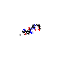 COc1ccncc1-c1ccc2[nH]nc(C(=O)NCC3CCN(Cc4ccc(C(=O)O)o4)CC3)c2c1